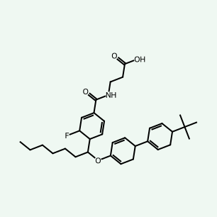 CCCCCCC(OC1=CCC(C2=CCC(C(C)(C)C)C=C2)C=C1)C1C=CC(C(=O)NCCC(=O)O)=CC1F